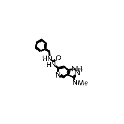 CNc1n[nH]c2cc(NC(=O)NCc3ccccc3)ncc12